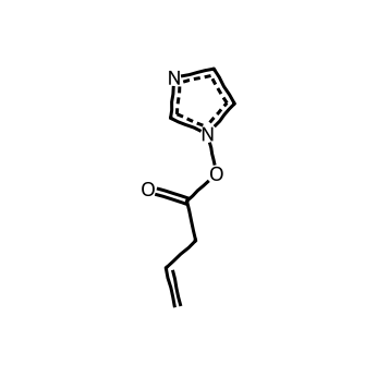 C=CCC(=O)On1ccnc1